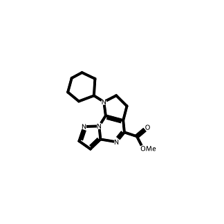 COC(=O)c1nc2ccnn2c2c1CCN2C1CCCCC1